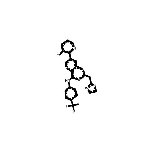 FC(F)(F)c1ccc(Nc2nc(Cc3ncc[nH]3)nc3cc(-c4ncccc4Cl)cnc23)cc1